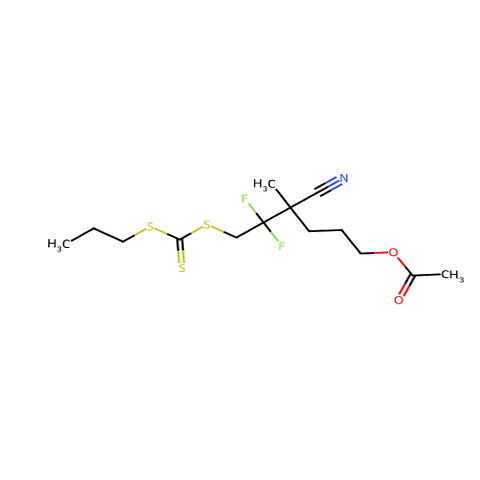 CCCSC(=S)SCC(F)(F)C(C)(C#N)CCCOC(C)=O